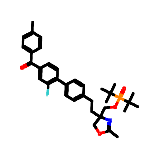 CC1=NC(CCc2ccc(-c3ccc(C(=O)c4ccc(C)cc4)cc3F)cc2)(COP(=O)(C(C)(C)C)C(C)(C)C)CO1